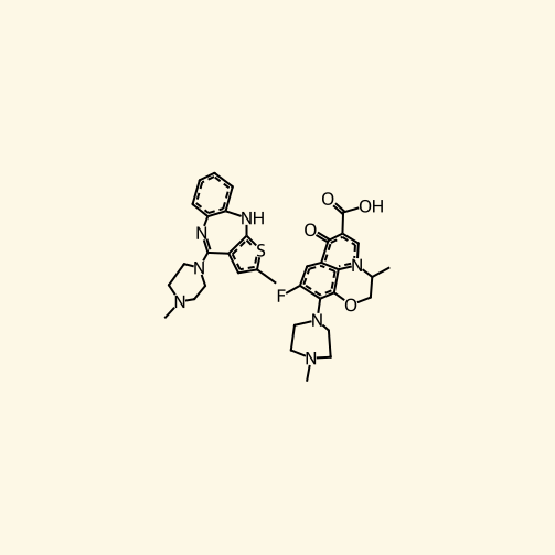 CC1COc2c(N3CCN(C)CC3)c(F)cc3c(=O)c(C(=O)O)cn1c23.Cc1cc2c(s1)Nc1ccccc1N=C2N1CCN(C)CC1